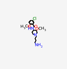 COc1ccc(Cl)cc1C(=O)NC1CCN(CCCCN)CC1OC